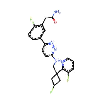 NC(=O)Cc1cc(-c2ccc(NCC3(c4ncccc4F)CC(F)C3)nn2)ccc1F